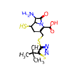 CC(C)(C)c1snnc1SCC1=C(C(=O)O)N2C(=O)C(N)C2C(S)C1